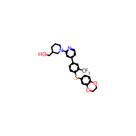 OCC1CCCN(c2cc(-c3ccc(Sc4ccc5c(c4)OCCO5)c(C(F)(F)F)c3)ccn2)C1